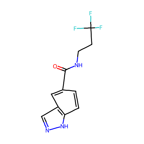 O=C(NCCC(F)(F)F)c1ccc2[nH]ncc2c1